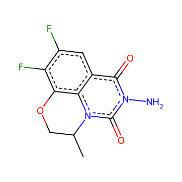 CC1COc2c(F)c(F)cc3c(=O)n(N)c(=O)n1c23